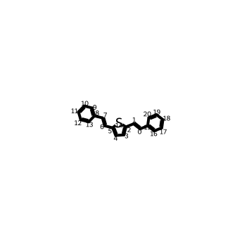 C(=Cc1ccc(C=Cc2ccccc2)s1)c1ccccc1